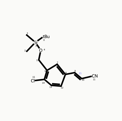 CC(C)(C)[Si](C)(C)OCc1cc(/C=C/C#N)ccc1Cl